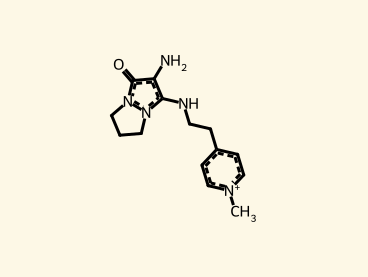 C[n+]1ccc(CCNc2c(N)c(=O)n3n2CCC3)cc1